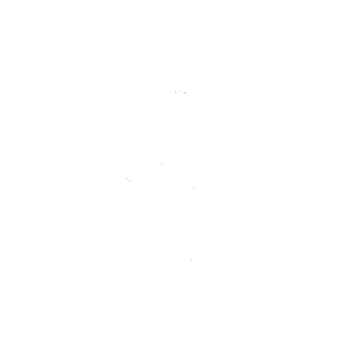 COc1c(Cl)ccc(-c2nc(N)c(Cl)c(C(=O)OC(C)(C)C)n2)c1F